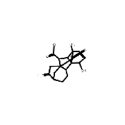 C=C1CC23CC1CCC2C12OC(=O)C(C)(C=CC1O)C2C3C(=O)O